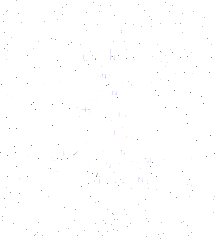 C[C@@H](OC1COP(=O)(O)O[C@H]2C[C@@H](OCC[C@@H]1CF)OC2n1cnc2c(=O)[nH]c(N)nc21)n1cnc2c(N)ncnc21